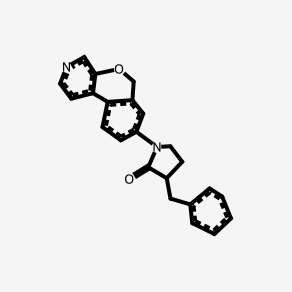 O=C1C(Cc2ccccc2)CCN1c1ccc2c(c1)COc1cnccc1-2